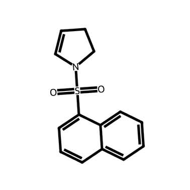 O=S(=O)(c1cccc2ccccc12)N1C=CCC1